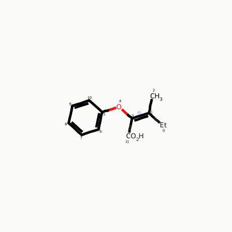 CC/C(C)=C(/Oc1ccccc1)C(=O)O